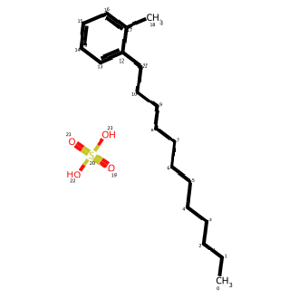 CCCCCCCCCCCCc1ccccc1C.O=S(=O)(O)O